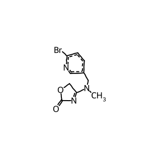 CN(Cc1ccc(Br)nc1)C1=NC(=O)OC1